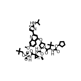 C=C[C@@H]1C[C@]1(NC(=O)[C@@H]1C[C@@H](Oc2cc(-c3csc(NC(C)C)n3)nc3cc(OC)ccc23)CN1C(=O)[C@@H](NC(=O)OC1CCCC1)C(C)(C)C)C(=O)NS(=O)(=O)OCC(C)(C)C